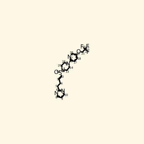 [O-][S+](/C=C/CCc1ncccn1)N1CCN(c2ccc(OCC(F)(F)F)cn2)CC1